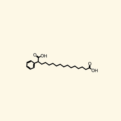 O=C(O)CCCCCCCCCCCCCC(C(=O)O)c1ccccc1